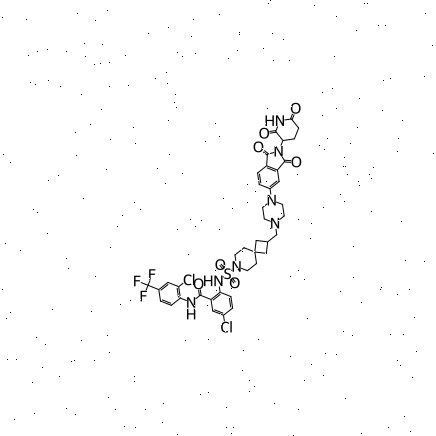 O=C1CCC(N2C(=O)c3ccc(N4CCN(CC5CC6(CCN(S(=O)(=O)Nc7ccc(Cl)cc7C(=O)Nc7ccc(C(F)(F)F)cc7Cl)CC6)C5)CC4)cc3C2=O)C(=O)N1